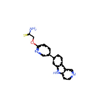 NC(=S)COc1ccc(-c2ccc3c(c2)[nH]c2ccncc23)cn1